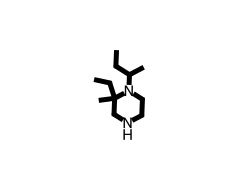 CCC(C)N1CCNCC1(C)CC